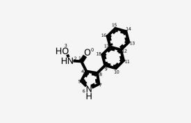 O=C(NO)c1c[nH]cc1-c1ccc2ccccc2c1